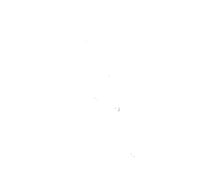 CCC1(C(F)(F)F)C=C(c2cnc(NC(=O)c3c(F)cncc3F)cn2)C=CC1